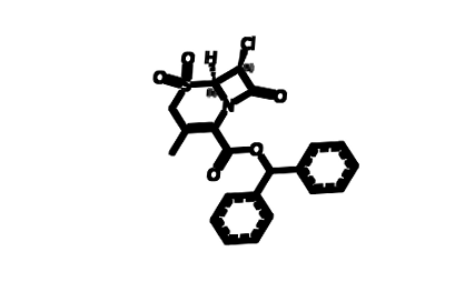 CC1=C(C(=O)OC(c2ccccc2)c2ccccc2)N2C(=O)[C@H](Cl)[C@@H]2S(=O)(=O)C1